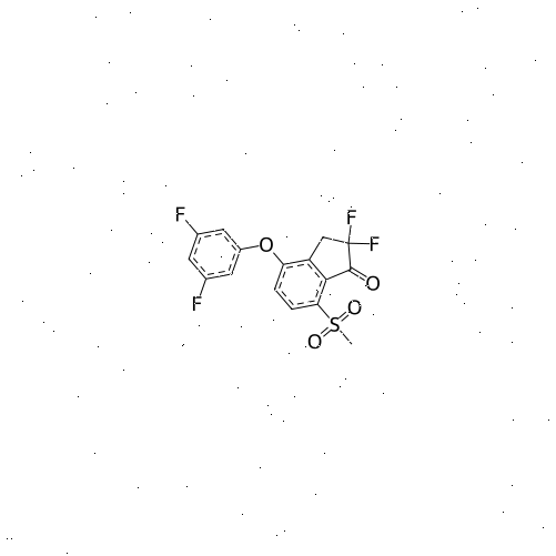 CS(=O)(=O)c1ccc(Oc2cc(F)cc(F)c2)c2c1C(=O)C(F)(F)C2